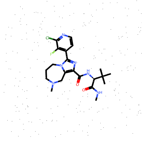 CNC(=O)[C@@H](NC(=O)c1nc(-c2ccnc(Cl)c2F)n2c1CN(C)CCC2)C(C)(C)C